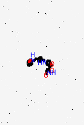 O=C1CCC(c2coc3ccc(NCc4ccc(CCNC56CC7CC(CC(C7)C5)C6)cc4)cc23)C(=O)N1